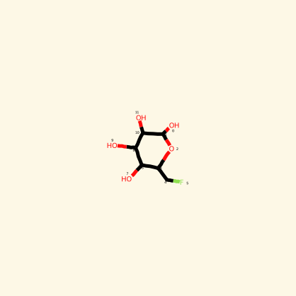 OC1OC(CF)C(O)C(O)C1O